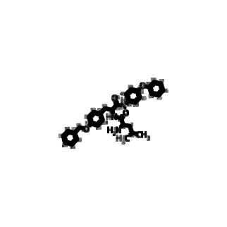 CC(C)CC(N)C(=O)NC(Cc1ccc(OCc2ccccc2)cc1)C(=O)Nc1ccc(Oc2ccccc2)cc1